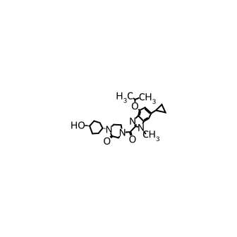 CC(C)Oc1cc(C2CC2)cc2c1nc(C(=O)N1CCN([C@H]3CC[C@H](O)CC3)C(=O)C1)n2C